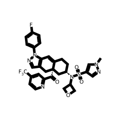 Cn1cc(S(=O)(=O)N(C2COC2)[C@H]2CCC3=Cc4c(cnn4-c4ccc(F)cc4)C[C@]3(C(=O)c3cc(C(F)(F)F)ccn3)C2)cn1